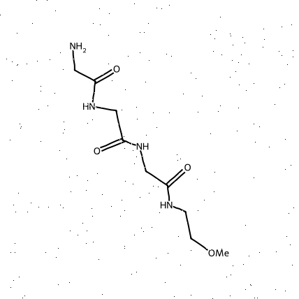 COCCNC(=O)CNC(=O)CNC(=O)CN